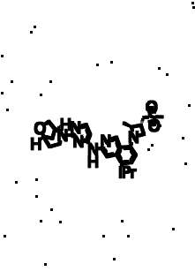 CC(C)c1ccc(N2C[C@@H](CS(C)(=O)=O)[C@@H]2C)c2cnc(Nc3ccnc(N4CC[C@@H]5C[C@H]4CO5)n3)cc12